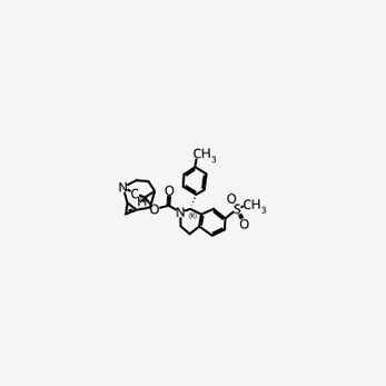 Cc1ccc([C@@H]2c3cc(S(C)(=O)=O)ccc3CCN2C(=O)O[C@@H]2CN3CCC2CC2=CC23)cc1